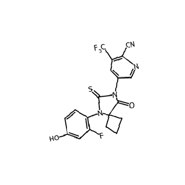 N#Cc1ncc(N2C(=O)C3(CCC3)N(c3ccc(O)cc3F)C2=S)cc1C(F)(F)F